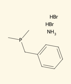 Br.Br.CP(C)Cc1ccccc1.N